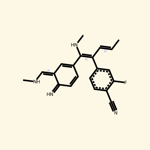 C/C=C/C(=C(\NC)C1=C/C(=C/NC)C(=N)C=C1)c1ccc(C#N)c(F)c1